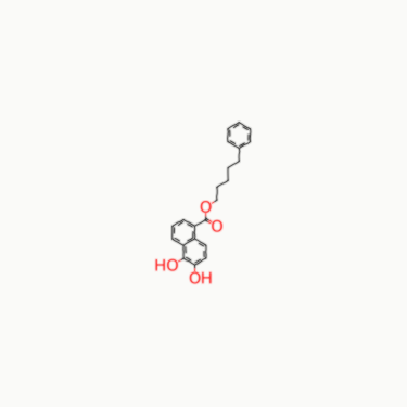 O=C(OCCCCCc1ccccc1)c1cccc2c(O)c(O)ccc12